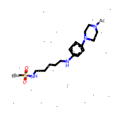 CC(=O)N1CCN(c2ccc(NCCCCCNS(=O)(=O)C(C)(C)C)cc2)CC1